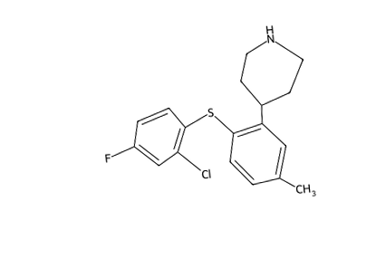 Cc1ccc(Sc2ccc(F)cc2Cl)c(C2CCNCC2)c1